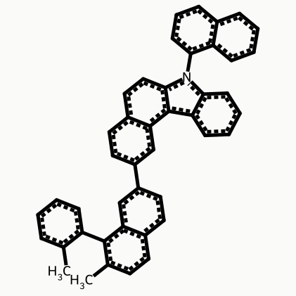 Cc1ccccc1-c1c(C)ccc2ccc(-c3ccc4ccc5c(c4c3)c3ccccc3n5-c3cccc4ccccc34)cc12